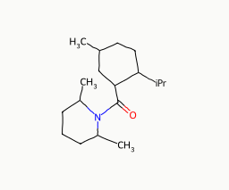 CC1CCC(C(C)C)C(C(=O)N2C(C)CCCC2C)C1